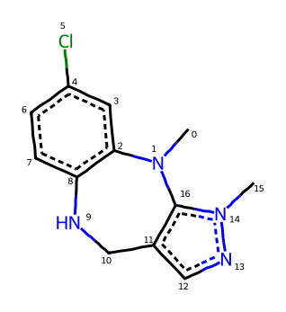 CN1c2cc(Cl)ccc2NCc2cnn(C)c21